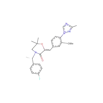 COc1cc(/C=C2\OC(C)(C)CN([C@@H](C)c3ccc(F)cc3)C2=O)ccc1-n1cnc(C)n1